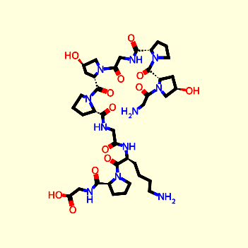 NCCCC[C@H](NC(=O)CNC(=O)[C@@H]1CCCN1C(=O)[C@@H]1C[C@@H](O)CN1C(=O)CNC(=O)[C@@H]1CCCN1C(=O)[C@@H]1C[C@@H](O)CN1C(=O)CN)C(=O)N1CCC[C@H]1C(=O)NCC(=O)O